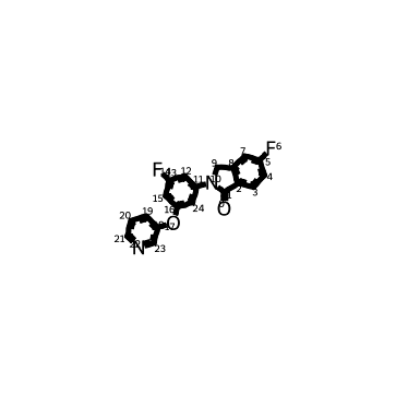 O=C1c2ccc(F)cc2CN1c1cc(F)cc(Oc2cccnc2)c1